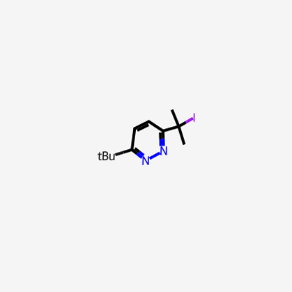 CC(C)(C)c1ccc(C(C)(C)I)nn1